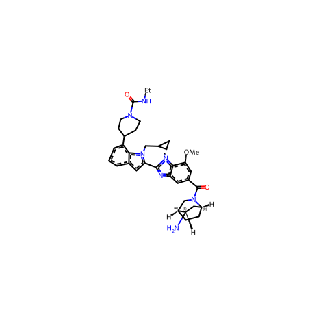 CCNC(=O)N1CCC(c2cccc3cc(-c4nc5cc(C(=O)N6C[C@H]7CC[C@@H]6C[C@@H]7N)cc(OC)c5n4C)n(CC4CC4)c23)CC1